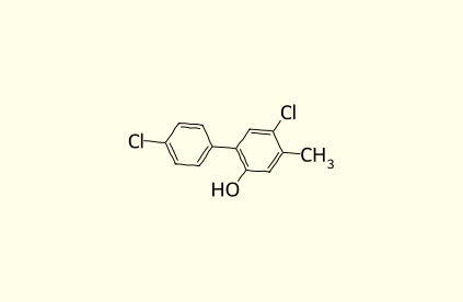 Cc1cc(O)c(-c2ccc(Cl)cc2)cc1Cl